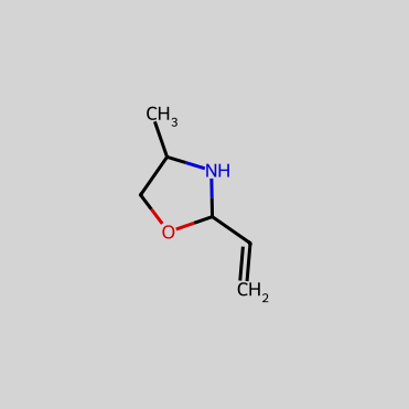 C=CC1NC(C)CO1